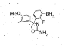 Bc1cccc(C2(c3ccc(OC)c(C)c3)COC(N)=N2)c1F